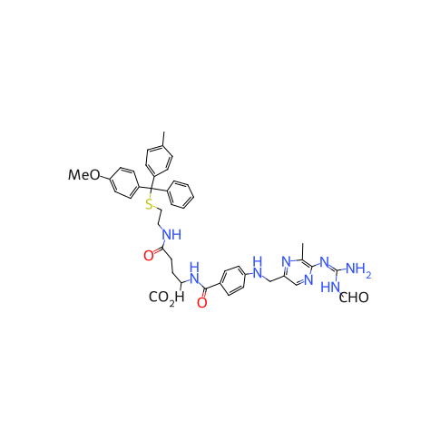 COc1ccc(C(SCCNC(=O)CCC(NC(=O)c2ccc(NCc3cnc(/N=C(/N)NC=O)c(C)n3)cc2)C(=O)O)(c2ccccc2)c2ccc(C)cc2)cc1